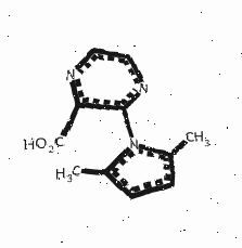 Cc1ccc(C)n1-c1nccnc1C(=O)O